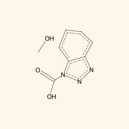 CO.O=C(O)n1nnc2ccccc21